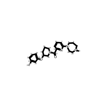 CN1CCCN(c2cccc(C(=O)N3CCCC(Oc4cccc(F)c4)C3)n2)CC1